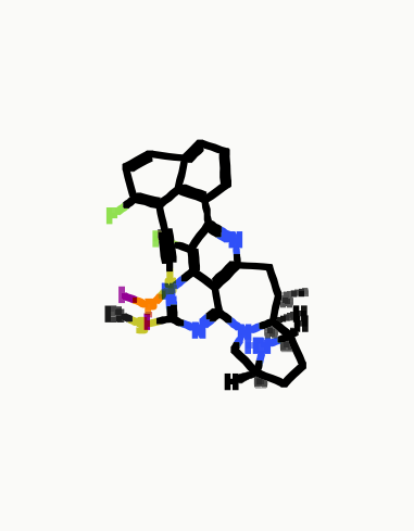 CCSc1nc2c3c(nc(-c4cccc5ccc(F)c(C#CSP(I)I)c45)c(F)c3n1)C[C@H](C)[C@H]1[C@@H]3CC[C@H](CN21)N3